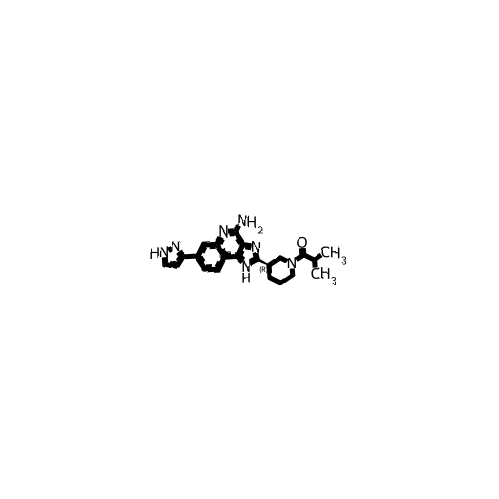 CC(C)C(=O)N1CCC[C@@H](c2nc3c(N)nc4cc(-c5cc[nH]n5)ccc4c3[nH]2)C1